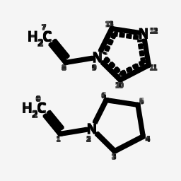 C=CN1CCCC1.C=Cn1ccnc1